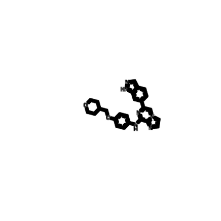 c1cn2cc(-c3ccc4cn[nH]c4c3)nc(Nc3ccc(OCC4CCOCC4)cc3)c2n1